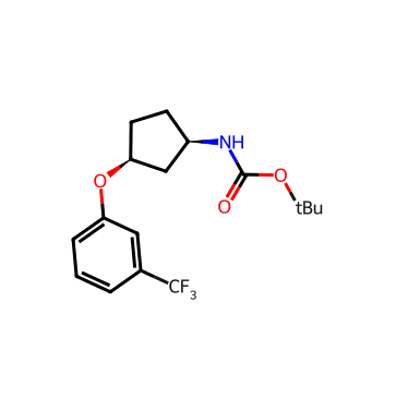 CC(C)(C)OC(=O)N[C@@H]1CC[C@H](Oc2cccc(C(F)(F)F)c2)C1